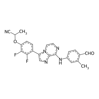 Cc1cc(Nc2nccn3c(-c4ccc(OC(C)C#N)c(F)c4F)cnc23)ccc1C=O